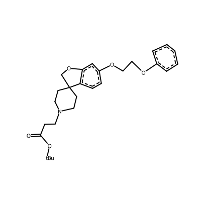 CC(C)(C)OC(=O)CCN1CCC2(CC1)COc1cc(OCCOc3ccccc3)ccc12